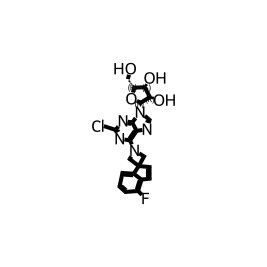 OC[C@H]1O[C@@H](n2cnc3c(N4CC5(C=Cc6c(F)cccc65)C4)nc(Cl)nc32)[C@H](O)[C@@H]1O